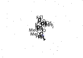 COC1=CC(C(=O)NC[C@@H](c2cc(F)nc(OC)c2)c2cc3c(c(-c4cc(Cl)c(F)cc4F)n2)OC[C@]3(C)C(N)=O)=C/C(=C/NC2CC2)C1=N